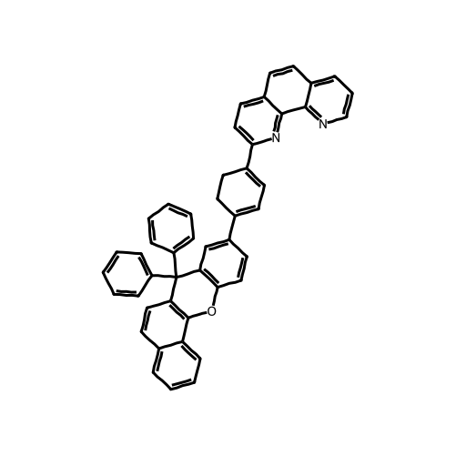 C1=C(c2ccc3c(c2)C(c2ccccc2)(c2ccccc2)c2ccc4ccccc4c2O3)CCC(c2ccc3ccc4cccnc4c3n2)=C1